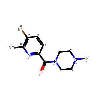 CC(C)N1CCN(C(=O)c2ccc(Br)c(C#N)n2)CC1